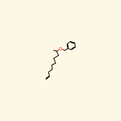 C=CCCCCCCC(C)OCc1ccccc1